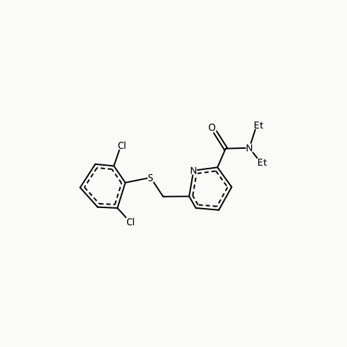 CCN(CC)C(=O)c1cccc(CSc2c(Cl)cccc2Cl)n1